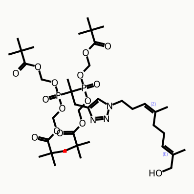 C/C(=C/CCn1cc(CC(C)(P(=O)(OCOC(=O)C(C)(C)C)OCOC(=O)C(C)(C)C)P(=O)(OCOC(=O)C(C)(C)C)OCOC(=O)C(C)(C)C)nn1)CC/C=C(\C)CO